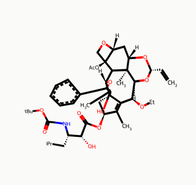 C=C[C@H]1O[C@H]2C[C@H]3OC[C@@]3(OC(C)=O)C3[C@@H]4OC(c5ccccc5)C(C)(O)[C@]45C[C@H](OC(=O)[C@H](O)[C@H](CC(C)C)NC(=O)OC(C)(C)C)C(C)=C5[C@H](OCC)[C@H](O1)[C@@]32C